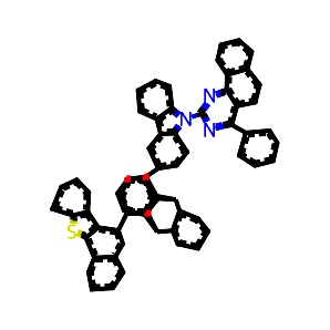 c1ccc(-c2nc(-n3c4ccccc4c4cc(-c5ccc(-c6cc7ccccc7c7sc8ccccc8c67)c6c5C5c7ccccc7C6c6ccccc65)ccc43)nc3c2ccc2ccccc23)cc1